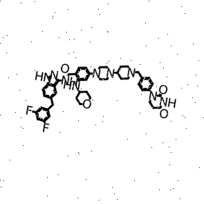 O=C1CCN(c2ccc(CN3CCC(N4CCN(c5ccc(C(=O)Nc6n[nH]c7ccc(Cc8cc(F)cc(F)c8)cc67)c(NC6CCOCC6)c5)CC4)CC3)cc2)C(=O)N1